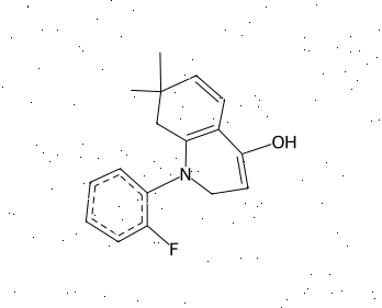 CC1(C)C=CC2=C(C1)N(c1ccccc1F)CC=C2O